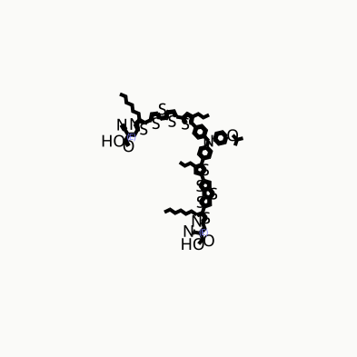 CCCCCCc1nc(/C=C(\C#N)C(=O)O)sc1-c1cc2sc3cc(-c4cc(CCC)c(-c5ccc(N(c6ccc(OC(C)C)cc6)c6ccc(-c7sc(-c8cc9sc%10cc(-c%11sc(/C=C(\C#N)C(=O)O)nc%11CCCCCC)sc%10c9s8)cc7CCC)cc6)cc5)s4)sc3c2s1